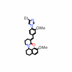 CCc1cn(-c2ccc(/C=C3\CCCN(C4CCCc5ccc(OC)cc54)C3=O)cc2OC)cn1